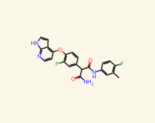 Cc1cc(NC(=O)C(C(N)=O)c2ccc(Oc3ccnc4[nH]ccc34)c(F)c2)ccc1F